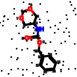 O=C(NC1COCOC1)OCc1ccccc1